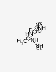 CCNCCCNc1cc(C)ccc1CNc1ccc(S(=O)(=O)Nc2nccs2)cc1F